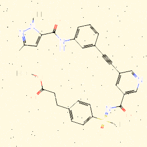 COC(=O)CCc1ccc(S(C)(=O)=NC(=O)c2cncc(C#Cc3cccc(NC(=O)c4cc(C)nn4C)c3)c2)cc1